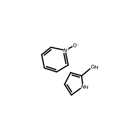 Oc1ccc[nH]1.[O-][n+]1ccccc1